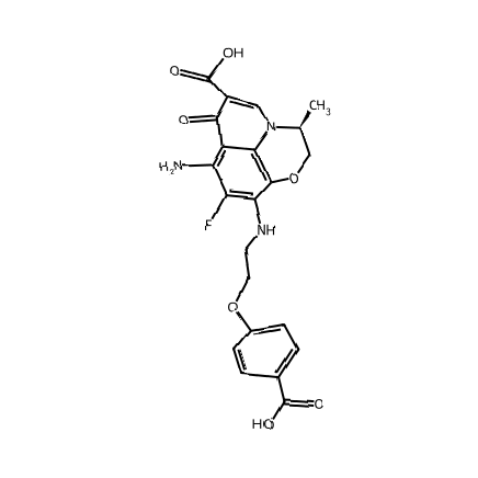 C[C@H]1COc2c(NCCOc3ccc(C(=O)O)cc3)c(F)c(N)c3c(=O)c(C(=O)O)cn1c23